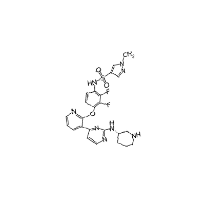 Cn1cc(S(=O)(=O)Nc2ccc(Oc3ncccc3-c3ccnc(N[C@H]4CCCNC4)n3)c(F)c2F)cn1